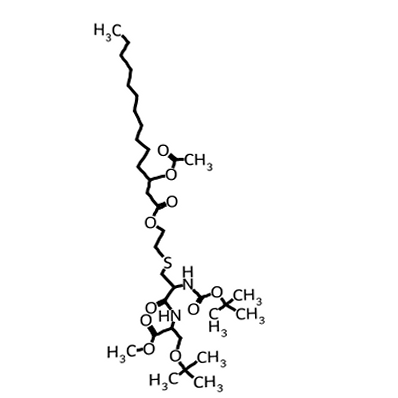 CCCCCCCCCCCC(CC(=O)OCCSCC(NC(=O)OC(C)(C)C)C(=O)NC(COC(C)(C)C)C(=O)OC)OC(C)=O